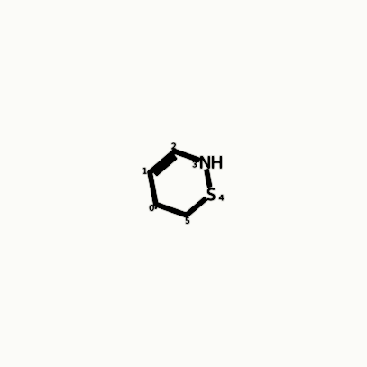 [CH]1C=CNSC1